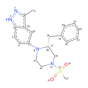 Cc1n[nH]c2ccc(N3CCN(S(C)(=O)=O)C[C@H]3Cc3ccccc3)cc12